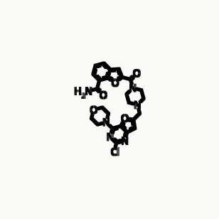 NC(=O)c1cccc2cc(C(=O)N3CCN(Cc4cc5nc(Cl)nc(N6CCOCC6)c5o4)CC3)oc12